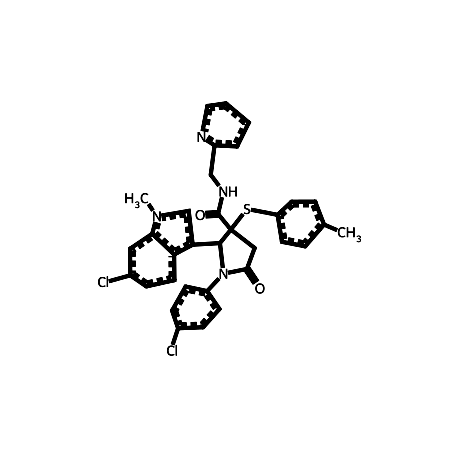 Cc1ccc(SC2(C(=O)NCc3ccccn3)CC(=O)N(c3ccc(Cl)cc3)C2c2cn(C)c3cc(Cl)ccc23)cc1